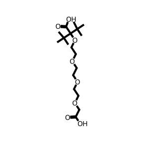 CC(C)(C)C(OCCOCCOCCOCC(=O)O)(C(=O)O)C(C)(C)C